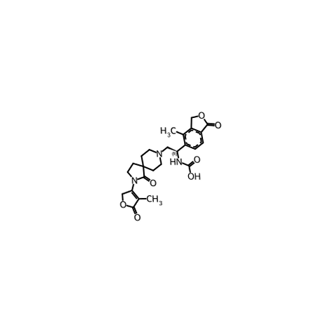 CC1=C(N2CCC3(CCN(C[C@H](NC(=O)O)c4ccc5c(c4C)COC5=O)CC3)C2=O)COC1=O